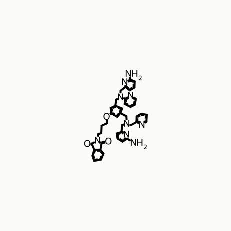 Nc1cccc(CN(Cc2cc(CN(Cc3cccc(N)n3)c3ccccn3)cc(OCCCCN3C(=O)c4ccccc4C3=O)c2)Cc2ccccn2)n1